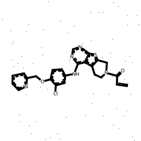 C=CC(=O)N1CCc2c(sc3ncnc(Nc4ccc(OCc5ccccn5)c(Cl)c4)c23)C1